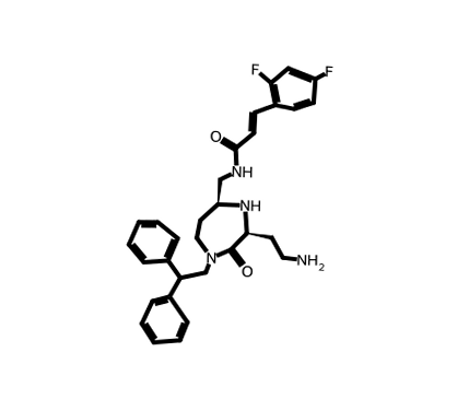 NCC[C@@H]1N[C@H](CNC(=O)C=Cc2ccc(F)cc2F)CCN(CC(c2ccccc2)c2ccccc2)C1=O